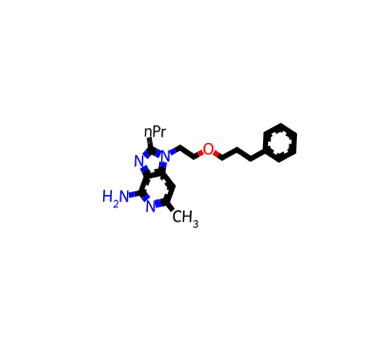 CCCc1nc2c(N)nc(C)cc2n1CCOCCCc1ccccc1